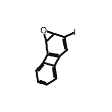 IC1=CC2=C(c3ccccc32)C2OC12